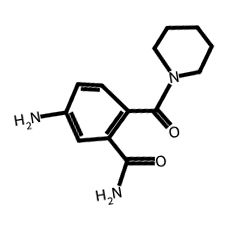 NC(=O)c1cc(N)ccc1C(=O)N1CCCCC1